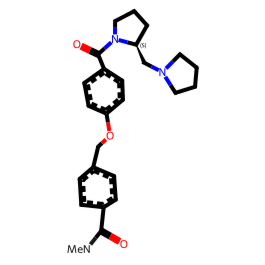 CNC(=O)c1ccc(COc2ccc(C(=O)N3CCC[C@H]3CN3CCCC3)cc2)cc1